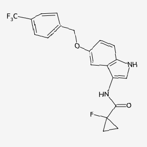 O=C(Nc1c[nH]c2ccc(OCc3ccc(C(F)(F)F)cc3)cc12)C1(F)CC1